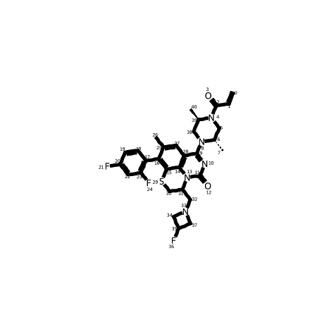 C=CC(=O)N1C[C@H](C)N(c2nc(=O)n3c4c(c(-c5ccc(F)cc5F)c(C)cc24)SCC3CN2CC(F)C2)C[C@H]1C